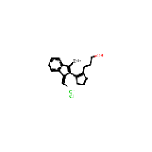 CC=C1C(C2=C(CCCO)C=CC2)=[C]([Zr+2])c2ccccc21.[Cl-].[Cl-]